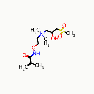 C=C(C)C(=O)NOCC[N+](C)(C)CC(O)CS(C)(=O)=O